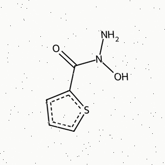 NN(O)C(=O)c1cccs1